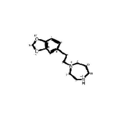 c1cc2c(cc1CCN1CCCNCC1)OCO2